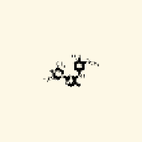 COc1cc(Nc2nc(N3C[C@@H](C)N[C@@H](C)C3)ncc2F)ccc1N